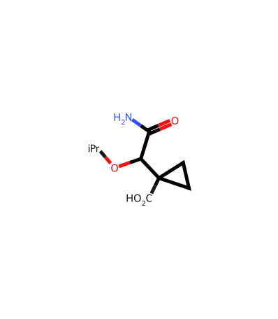 CC(C)OC(C(N)=O)C1(C(=O)O)CC1